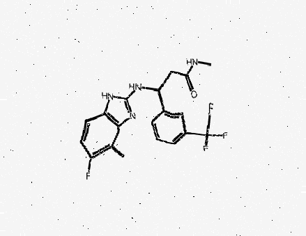 CNC(=O)CC(Nc1nc2c(C)c(F)ccc2[nH]1)c1cccc(C(F)(F)F)c1